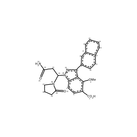 COc1c(C(=O)O)ccc2c1c(-c1ccc3ccccc3c1)nn2C(CC(N)=O)N1CCCC1=O